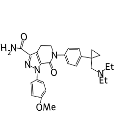 CCN(CC)CC1(c2ccc(N3CCc4c(C(N)=O)nn(-c5ccc(OC)cc5)c4C3=O)cc2)CC1